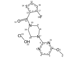 COc1ccnc(N2CCN(C(=O)c3sccc3F)CC2)n1.OCl